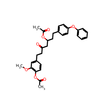 COc1cc(CCC(=O)CC(CCc2ccc(Oc3ccccc3)cc2)OC(C)=O)ccc1OC(C)=O